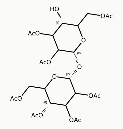 CC(=O)OCC1O[C@H](O[C@H]2OC(COC(C)=O)[C@@H](OC(C)=O)C(OC(C)=O)C2OC(C)=O)C(OC(C)=O)C(OC(C)=O)[C@@H]1O